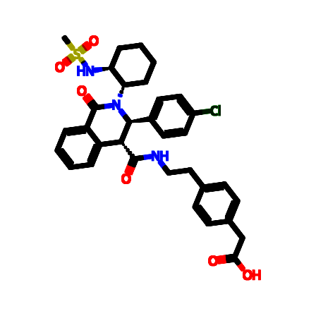 CS(=O)(=O)N[C@H]1CCCC[C@@H]1N1C(=O)c2ccccc2[C@@H](C(=O)NCCc2ccc(CC(=O)O)cc2)[C@@H]1c1ccc(Cl)cc1